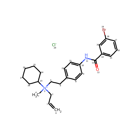 C=CC[N+](C)(CCc1ccc(NC(=O)c2cccc(Br)c2)cc1)C1CCCCC1.[Cl-]